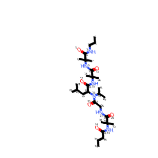 CCCNC(=O)C(C)(C)NC(=O)C(C)(C)NC(=O)C(CC(C)C)N(C(=O)CNC(=O)C(C)(C)NC(=O)CCC)C(C)C